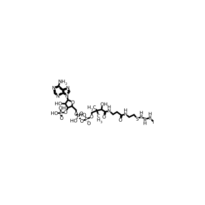 CC(C)(COP(=O)(O)OP(=O)(O)OCC1OC(n2cnc3c(N)ncnc32)C(O)C1OP(=O)(O)O)C(O)C(=O)NCCC(=O)NCCSBBBI